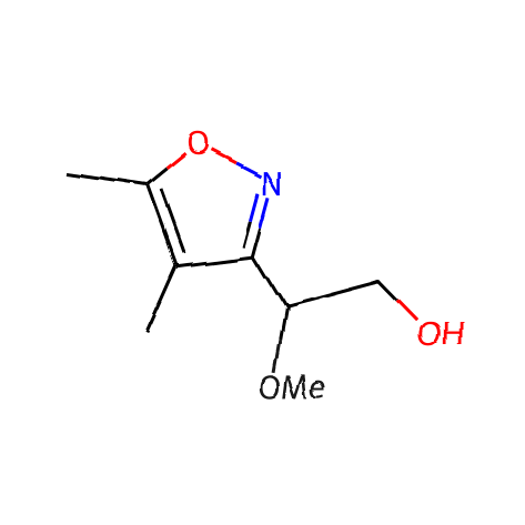 COC(CO)c1noc(C)c1C